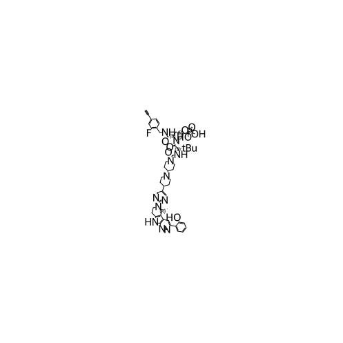 C#Cc1ccc(CNC(=O)[C@@H]2C[C@@H](OP(=O)(O)O)CN2C(=O)[C@@H](NC(=O)N2CCC(N3CCC(c4cnc(N5CCc6[nH]c7nnc(-c8ccccc8O)cc7c6[C@H]5C)nc4)CC3)CC2)C(C)(C)C)c(F)c1